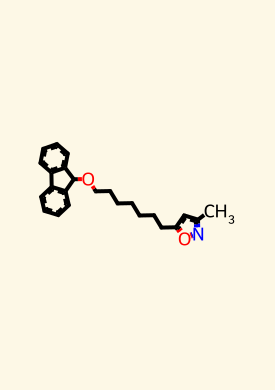 Cc1cc(CCCCCCCOC2c3ccccc3-c3ccccc32)on1